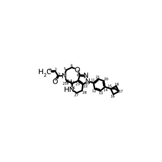 C=CC(=O)N1CCOc2nn(-c3ccc(C45CC(C4)C5)cc3)c3c2[C@H](C1)NCC3